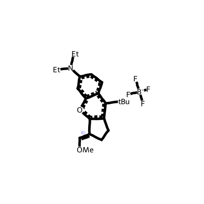 CCN(CC)c1ccc2c(C(C)(C)C)c3c([o+]c2c1)/C(=C/OC)CC3.F[B-](F)(F)F